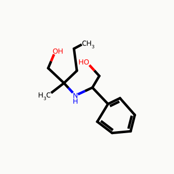 CCCC(C)(CO)NC(CO)c1ccccc1